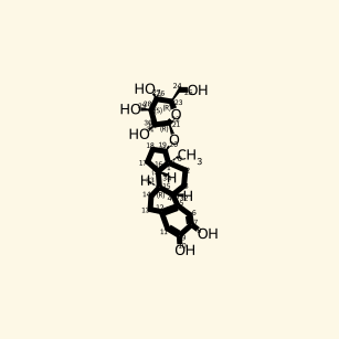 C[C@]12CC[C@@H]3c4cc(O)c(O)cc4CC[C@H]3[C@@H]1CC[C@@H]2O[C@@H]1O[C@H](CO)[C@@H](O)[C@H](O)[C@H]1O